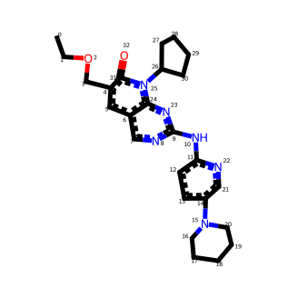 CCOCc1cc2cnc(Nc3ccc(N4CCCCC4)cn3)nc2n(C2CCCC2)c1=O